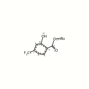 CCCCOC(=O)c1ccc(C(F)(F)F)cc1O